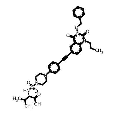 CCCn1c(=O)n(OCc2ccccc2)c(=O)c2cc(C#Cc3ccc(N4CCN(S(=O)(=O)N[C@@H](C(=O)O)C(C)C)CC4)cc3)ccc21